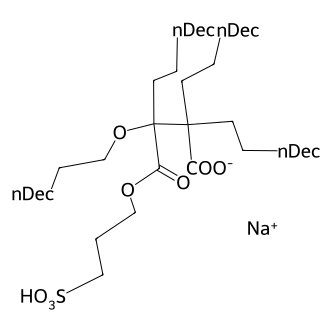 CCCCCCCCCCCCOC(CCCCCCCCCCCC)(C(=O)OCCCS(=O)(=O)O)C(CCCCCCCCCCCC)(CCCCCCCCCCCC)C(=O)[O-].[Na+]